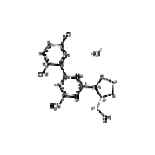 Cl.Nc1nc(-c2cc(Cl)ccc2Cl)nc(N2CCC[C@@H]2CO)n1